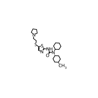 C[C@H]1CC[C@H](N(C(=O)Nc2ncc(SCCN3CCCC3)s2)C2CCCCC2)CC1